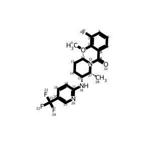 COc1c(F)cccc1C(=O)N1CCC[C@@H](Nc2ccc(C(F)(F)F)cn2)[C@H]1C